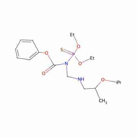 CCOP(=S)(OCC)N(CNCC(C)OC(C)C)C(=O)Oc1ccccc1